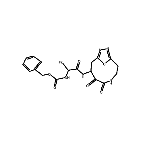 CC(C)C(NC(=O)OCc1ccccc1)C(=O)NC1Cc2nnc(o2)CCNC(=O)C1=O